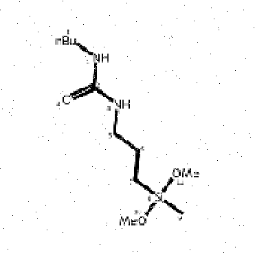 CCCCNC(=O)NCCC[Si](C)(OC)OC